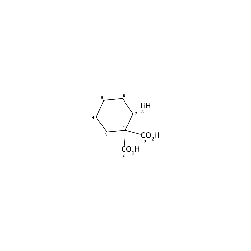 O=C(O)C1(C(=O)O)CCCCC1.[LiH]